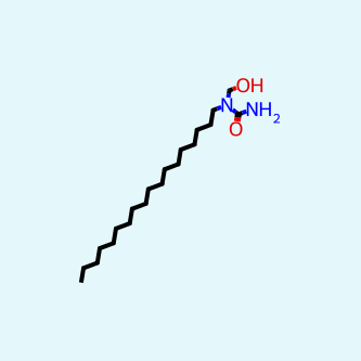 CCCCCCCCCCCCCCCCCCN(CO)C(N)=O